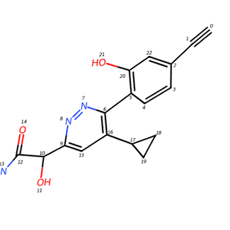 C#Cc1ccc(-c2nnc(C(O)C(N)=O)cc2C2CC2)c(O)c1